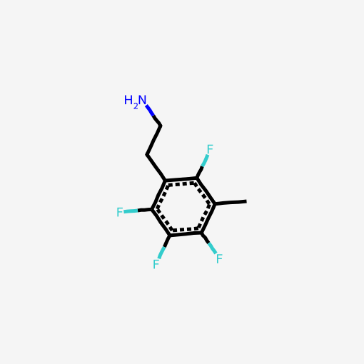 Cc1c(F)c(F)c(F)c(CCN)c1F